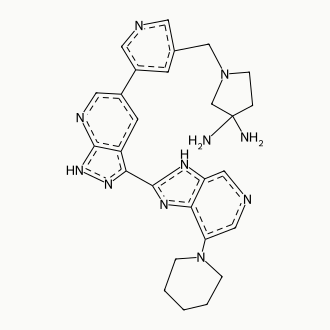 NC1(N)CCN(Cc2cncc(-c3cnc4[nH]nc(-c5nc6c(N7CCCCC7)cncc6[nH]5)c4c3)c2)C1